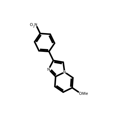 COc1ccc2nc(-c3ccc([N+](=O)[O-])cc3)cn2c1